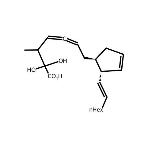 CCCCCCC=C[C@H]1C=CC[C@@H]1CC=C=CC(C)C(O)(O)C(=O)O